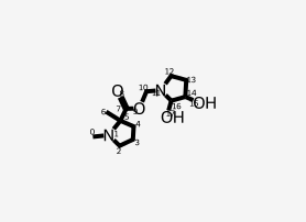 CN1CCCC1(C)C(=O)OCN1CCC(O)C1O